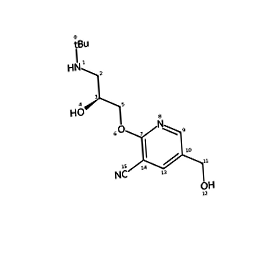 CC(C)(C)NC[C@H](O)COc1ncc(CO)cc1C#N